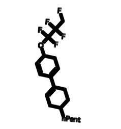 CCCCCC1CC=C(C2=CCC(OC(F)(F)C(F)(F)CF)C=C2)CC1